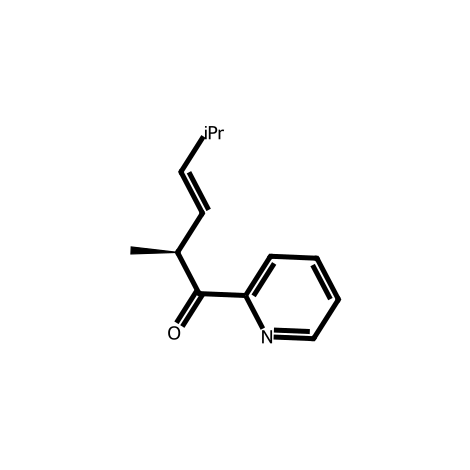 CC(C)/C=C/[C@H](C)C(=O)c1ccccn1